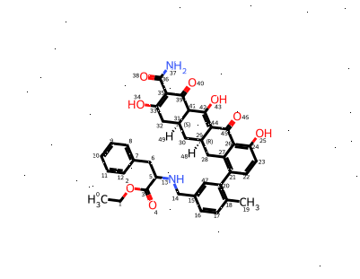 CCOC(=O)C(Cc1ccccc1)NCc1ccc(C)c(-c2ccc(O)c3c2C[C@H]2C[C@H]4CC(O)=C(C(N)=O)C(=O)C4C(O)=C2C3=O)c1